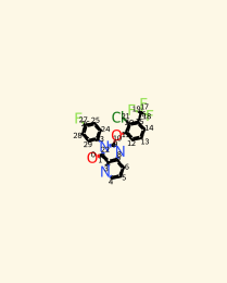 O=c1c2ncccc2nc(Oc2cccc(C(F)(F)F)c2Cl)n1-c1ccc(F)cc1